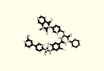 CC(C)c1cc(-c2ccc(S(=O)(=O)Nc3cc(F)c(C(=O)N[C@@H](Cc4ccc(-n5c(=O)c6ccncc6n(C)c5=O)cn4)C(=O)OC4CCCCC4)cc3F)nc2)ccn1